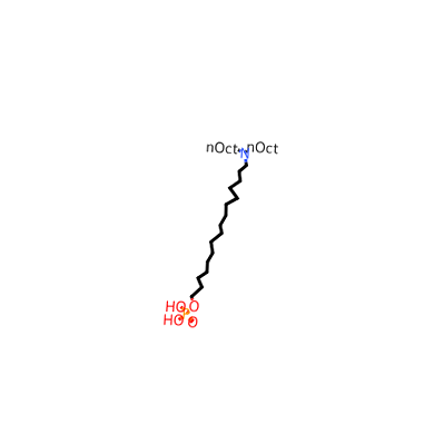 CCCCCCCCN(CCCCCCCC)CCCCCCCCCCCCCCCCOP(=O)(O)O